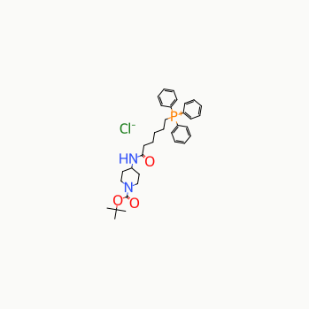 CC(C)(C)OC(=O)N1CCC(NC(=O)CCCCC[P+](c2ccccc2)(c2ccccc2)c2ccccc2)CC1.[Cl-]